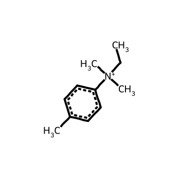 CC[N+](C)(C)c1ccc(C)cc1